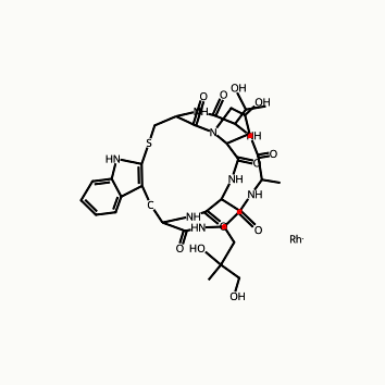 CC1NC(=O)C(CC(C)(O)CO)NC(=O)C2Cc3c([nH]c4ccccc34)SCC(NC(=O)C(C(C)O)NC1=O)C(=O)N1CC(O)CC1C(=O)NC(C)C(=O)N2.[Rh]